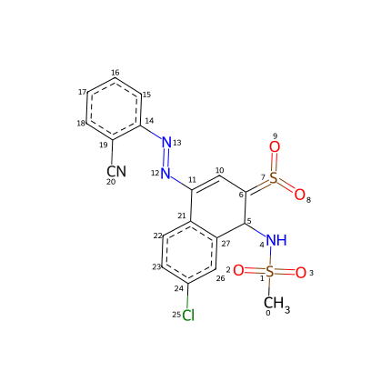 CS(=O)(=O)NC1C(=S(=O)=O)C=C(N=Nc2ccccc2C#N)c2ccc(Cl)cc21